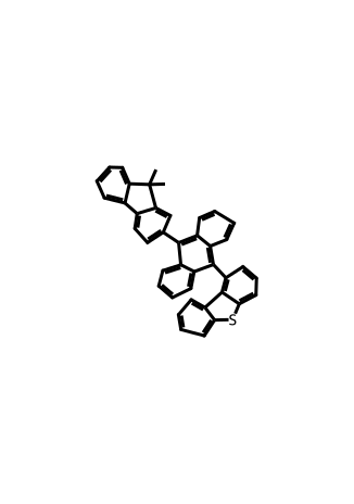 CC1(C)c2ccccc2-c2ccc(-c3c4ccccc4c(-c4cccc5sc6ccccc6c45)c4ccccc34)cc21